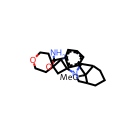 COC1(c2cccc(C(N)=O)c2)C2CCCC1CN(C1CC3(CCOCC3)C1)C2